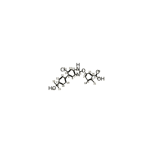 Cc1cc(Oc2nc3cc(-c4ccc(C(C)(C)O)cc4)c(Cl)cc3[nH]2)cc(C(=O)O)c1C